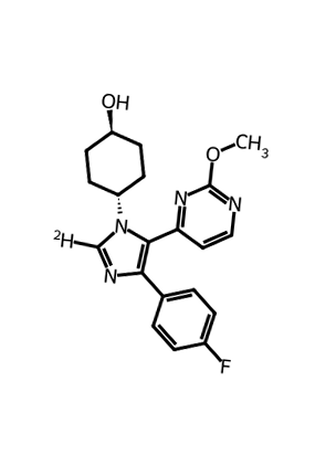 [2H]c1nc(-c2ccc(F)cc2)c(-c2ccnc(OC)n2)n1[C@H]1CC[C@H](O)CC1